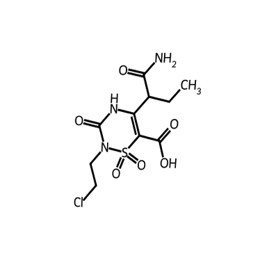 CCC(C(N)=O)C1=C(C(=O)O)S(=O)(=O)N(CCCl)C(=O)N1